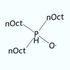 CCCCCCCC[PH]([O])(CCCCCCCC)CCCCCCCC